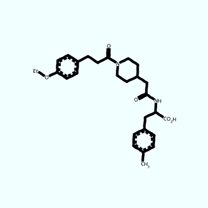 CCOc1ccc(CCC(=O)N2CCC(CC(=O)NC(Cc3ccc(C)cc3)C(=O)O)CC2)cc1